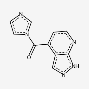 O=C(c1ccnc2[nH]ncc12)n1ccnc1